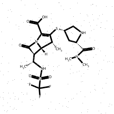 C[C@@H](NS(=O)(=O)C(F)(F)F)[C@H]1C(=O)N2C(C(=O)O)=C(S[C@@H]3CN[C@H](C(=O)N(C)C)C3)[C@H](C)[C@H]12